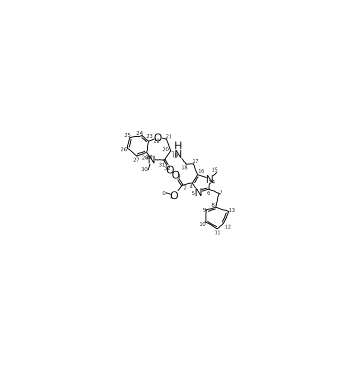 COC(=O)c1nc(Cc2ccccc2)n(C)c1CCN[C@H]1COc2ccccc2N(C)C1=O